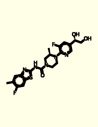 Cc1cc2nc(NC(=O)N3CCN(c4ncc([C@H](O)CO)cc4F)[C@H](C)C3)sc2cc1F